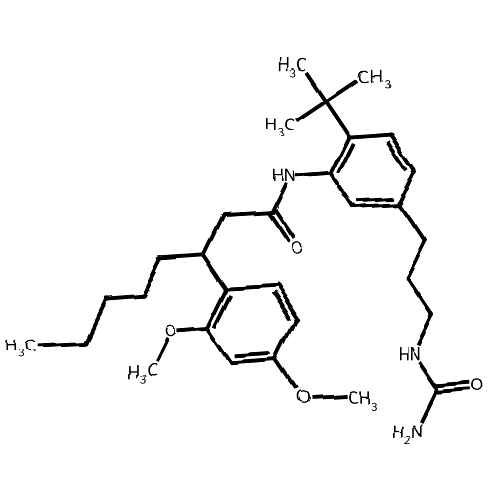 CCCCCC(CC(=O)Nc1cc(CCCNC(N)=O)ccc1C(C)(C)C)c1ccc(OC)cc1OC